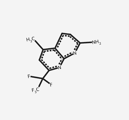 Cc1cc(C(F)(F)C(F)(F)F)nc2nc(N)ccc12